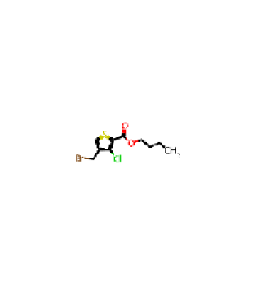 CCCCOC(=O)c1scc(CBr)c1Cl